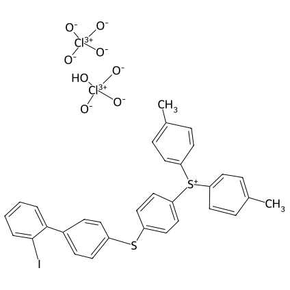 Cc1ccc([S+](c2ccc(C)cc2)c2ccc(Sc3ccc(-c4ccccc4I)cc3)cc2)cc1.[O-][Cl+3]([O-])([O-])O.[O-][Cl+3]([O-])([O-])[O-]